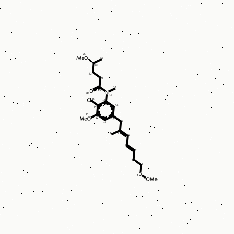 COOCC/C=C/C=C(\C)Cc1cc(OC)c(Cl)c(N(C)C(=O)CC[C@H](C)OC)c1